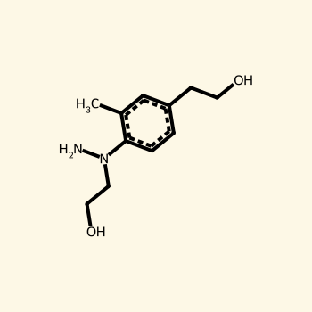 Cc1cc(CCO)ccc1N(N)CCO